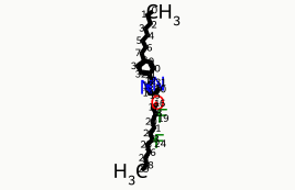 CCCCCCCCc1ccc(-c2ncc(OCC(F)CCCC(F)CCCCC)cn2)cc1